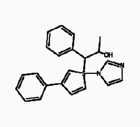 CC(O)C(c1ccccc1)S1(n2ccnc2)C=CC(c2ccccc2)=C1